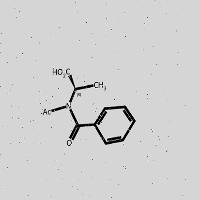 CC(=O)N(C(=O)c1ccccc1)[C@H](C)C(=O)O